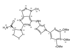 COc1cc(-n2cnc(Nc3nc(N4CCC[C@H]4C(N)=O)nc4cnn(C)c34)c2)cc(OC)c1OC